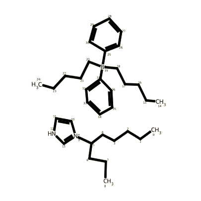 CCCCCC(CCC)[n+]1cc[nH]c1.CCCCC[B-](CCCCC)(c1ccccc1)c1ccccc1